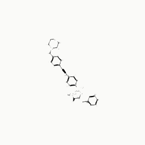 O=C(NO)[C@H](Cc1ccccc1)NS(=O)(=O)c1ccc(C#Cc2ccc(CN3CCOCC3)cc2)cc1